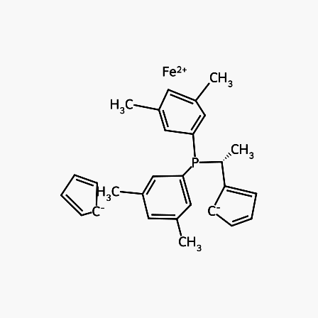 Cc1cc(C)cc(P(c2cc(C)cc(C)c2)[C@H](C)c2ccc[cH-]2)c1.[Fe+2].c1cc[cH-]c1